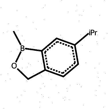 CB1OCc2ccc(C(C)C)cc21